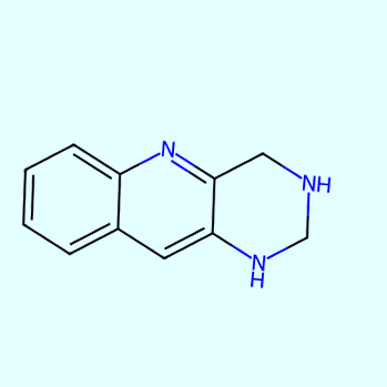 c1ccc2nc3c(cc2c1)NCNC3